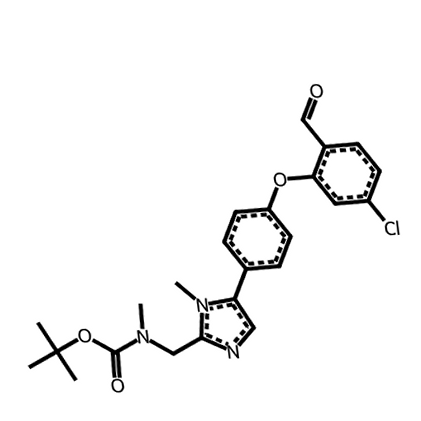 CN(Cc1ncc(-c2ccc(Oc3cc(Cl)ccc3C=O)cc2)n1C)C(=O)OC(C)(C)C